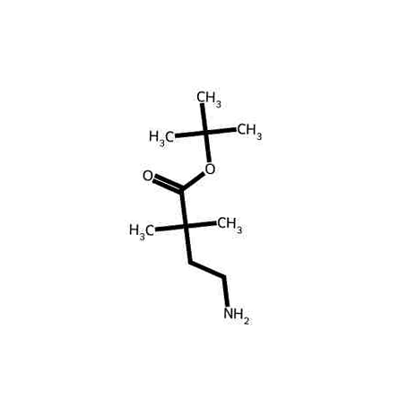 CC(C)(C)OC(=O)C(C)(C)CCN